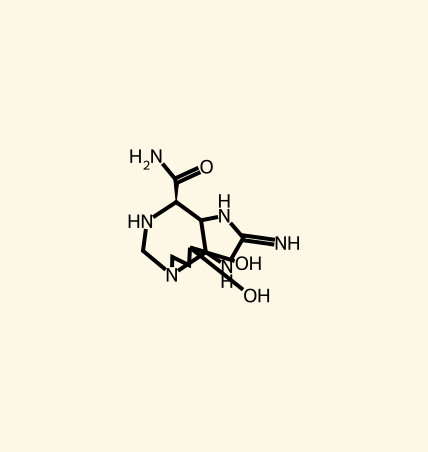 N=C1NC2[C@H](C(N)=O)NCN3CCC(O)(O)C23N1